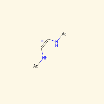 CC(=O)N/C=C\NC(C)=O